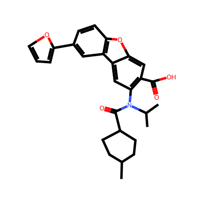 CC1CCC(C(=O)N(c2cc3c(cc2C(=O)O)oc2ccc(-c4ccco4)cc23)C(C)C)CC1